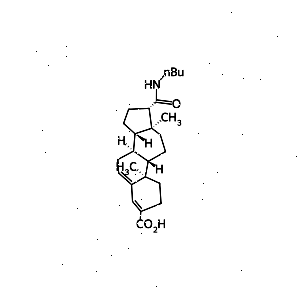 CCCCNC(=O)[C@H]1CC[C@H]2[C@@H]3CC=C4C=C(C(=O)O)CC[C@]4(C)[C@H]3CC[C@]12C